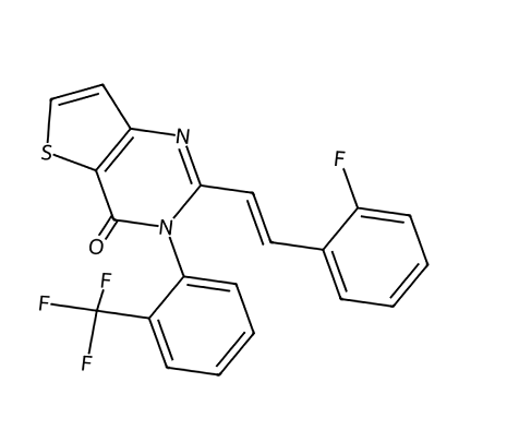 O=c1c2sccc2nc(C=Cc2ccccc2F)n1-c1ccccc1C(F)(F)F